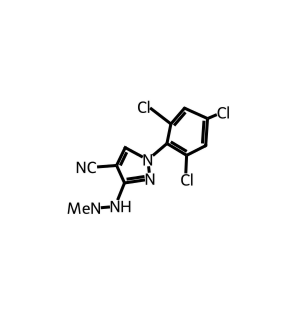 CNNc1nn(-c2c(Cl)cc(Cl)cc2Cl)cc1C#N